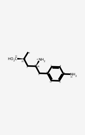 C[C@@H](C[C@@H](N)Cc1ccc(N)cc1)C(=O)O